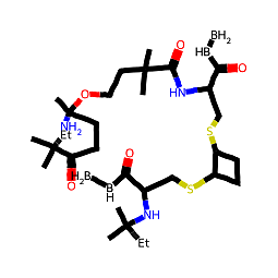 BBC(=O)C(CSC1CCC1SCC(NC(C)(C)CC)C(=O)BB)NC(=O)C(C)(C)CCOC(C)(N)CCC(=O)C(C)(C)CC